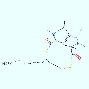 CC1C2=C3C(C)(C(=O)SCCC(CCCCC(=O)O)SC(=O)C3(C)N(C)C2C)N1C